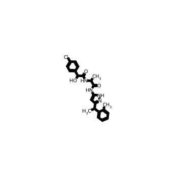 Cc1ccccc1C(C)c1cc(NC(=O)C(C)NC(=O)C(O)c2ccc(Cl)cc2)[nH]n1